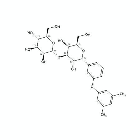 Cc1cc(C)cc(Oc2cccc([C@H]3O[C@H](CO)[C@H](O)[C@H](O[C@H]4O[C@H](CO)[C@@H](O)[C@H](O)[C@@H]4O)[C@H]3O)c2)c1